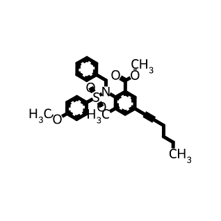 CCCCC#Cc1cc(C)c(N(Cc2ccccc2)S(=O)(=O)c2ccc(OC)cc2)c(C(=O)OC)c1